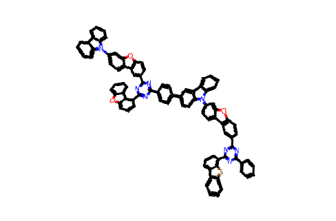 c1ccc(-c2nc(-c3ccc4oc5cc(-n6c7ccccc7c7cc(-c8ccc(-c9nc(-c%10ccc%11oc%12cc(-n%13c%14ccccc%14c%14ccccc%14%13)ccc%12c%11c%10)nc(-c%10cccc%11oc%12ccccc%12c%10%11)n9)cc8)ccc76)ccc5c4c3)nc(-c3cccc4c3sc3ccccc34)n2)cc1